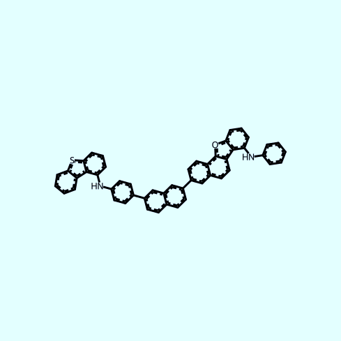 c1ccc(Nc2cccc3oc4c5ccc(-c6ccc7ccc(-c8ccc(Nc9cccc%10sc%11ccccc%11c9%10)cc8)cc7c6)cc5ccc4c23)cc1